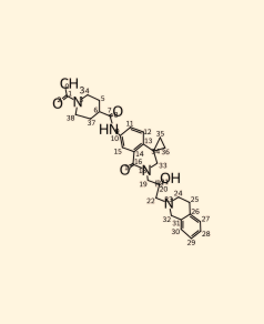 CC(=O)N1CCC(C(=O)Nc2ccc3c(c2)C(=O)N(C[C@H](O)CN2CCc4ccccc4C2)CC32CC2)CC1